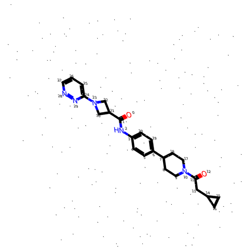 O=C(Nc1ccc(C2CCN(C(=O)CC3CC3)CC2)cc1)C1CN(c2cccnn2)C1